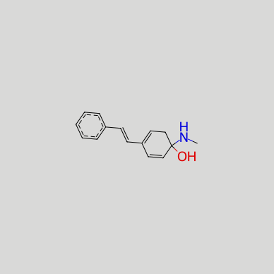 CNC1(O)C=CC(C=Cc2ccccc2)=CC1